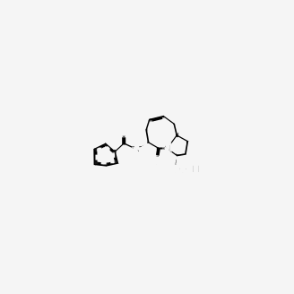 O=C(N[C@H]1C/C=C\C[C@H]2CC[C@@H](C(=O)O)N2C1=O)c1ccccc1